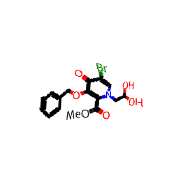 COC(=O)c1c(OCc2ccccc2)c(=O)c(Br)cn1CC(O)O